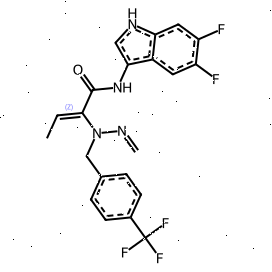 C=NN(Cc1ccc(C(F)(F)F)cc1)/C(=C\C)C(=O)Nc1c[nH]c2cc(F)c(F)cc12